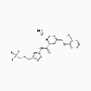 Cl.Cl.O=C(Nc1cnn(CCCC(F)(F)F)c1)c1cc(COc2ccccc2Cl)ccn1